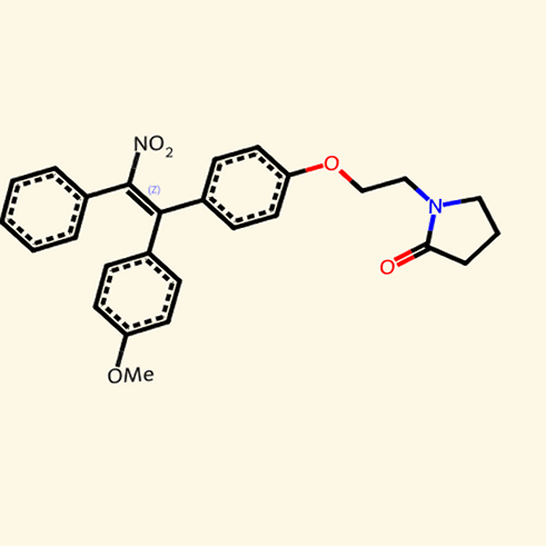 COc1ccc(/C(=C(\c2ccccc2)[N+](=O)[O-])c2ccc(OCCN3CCCC3=O)cc2)cc1